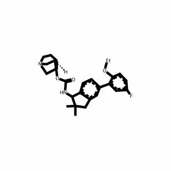 CCOc1ccc(F)cc1-c1ccc2c(c1)CC(C)(C)C2NC(=O)O[C@H]1CN2CCC1CC2